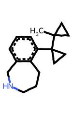 CC1(C2(c3cccc4c3CCCNC4)CC2)CC1